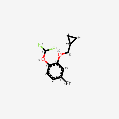 [CH2]Cc1ccc(OC(F)F)c(OCC2CC2)c1